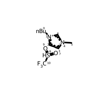 CCCC[n+]1ccn(C)c1.O=[SH](=O)C(F)(F)F